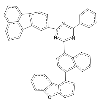 c1ccc(-c2nc(-c3ccc4c(c3)-c3cccc5cccc-4c35)nc(-c3ccc(-c4cccc5oc6ccccc6c45)c4ccccc34)n2)cc1